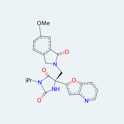 COc1ccc2c(c1)C(=O)N(C[C@@]1(c3cc4ncccc4o3)NC(=O)N(C(C)C)C1=O)C2